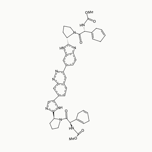 COC(=O)N[C@@H](C(=O)N1CCC[C@H]1c1ncc(-c2ccc3cc(-c4ccc5nc([C@@H]6CCCN6C(=O)[C@H](NC(=O)OC)C6=CCC=CC6)[nH]c5c4)nnc3c2)[nH]1)C1=CCC=CC1